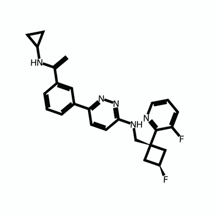 C=C(NC1CC1)c1cccc(-c2ccc(NC[C@]3(c4ncccc4F)C[C@H](F)C3)nn2)c1